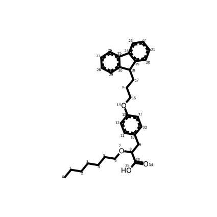 CCCCCCCOC(Cc1ccc(OCCCC2c3ccccc3-c3ccccc32)cc1)C(=O)O